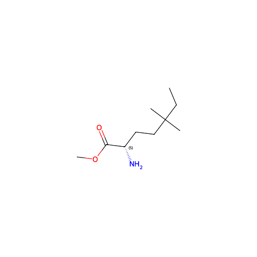 CCC(C)(C)CC[C@H](N)C(=O)OC